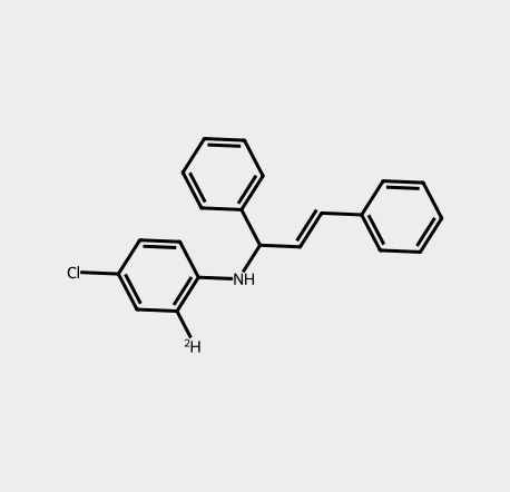 [2H]c1cc(Cl)ccc1NC(C=Cc1ccccc1)c1ccccc1